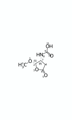 CO[C@H]1OC(=O)C[C@H]1NC(=O)O